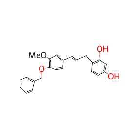 COc1cc(/C=C/Cc2ccc(O)cc2O)ccc1OCc1ccccc1